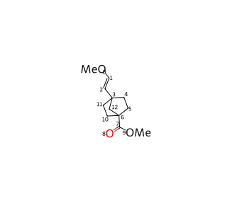 COC=CC12CCC(C(=O)OC)(CC1)C2